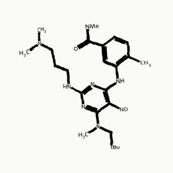 CNC(=O)c1ccc(C)c(Nc2nc(NCCCN(C)C)nc(N(C)CC(C)(C)C)c2N=O)c1